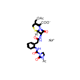 CC(=O)OCC1=C(C(=O)[O-])N2C(=O)C(NC(=O)Cc3ccccc3NC(=O)N3CCN(C(C)=O)C3=O)[C@H]2SC1.[Na+]